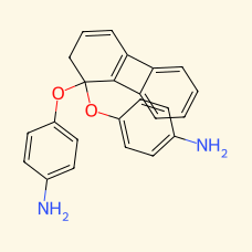 Nc1ccc(OC2(Oc3ccc(N)cc3)CC=CC3=C2c2ccccc23)cc1